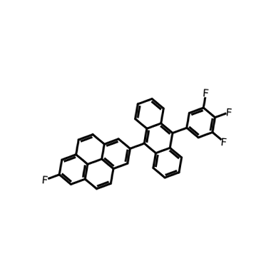 Fc1cc2ccc3cc(-c4c5ccccc5c(-c5cc(F)c(F)c(F)c5)c5ccccc45)cc4ccc(c1)c2c34